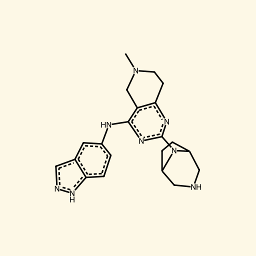 CN1CCc2nc(N3C4CCC3CNC4)nc(Nc3ccc4[nH]ncc4c3)c2C1